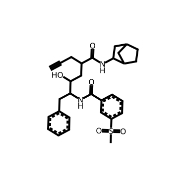 C#CCC(CC(O)C(Cc1ccccc1)NC(=O)c1cccc(S(C)(=O)=O)c1)C(=O)NC1CC2CCC1C2